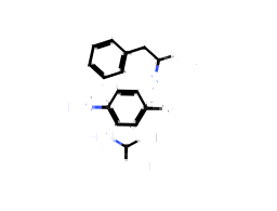 CC(N)C(=O)O.NC(Cc1ccccc1)C(=O)O.Nc1ccc([N+](=O)[O-])cc1